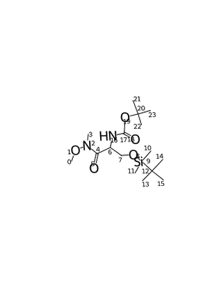 CON(C)C(=O)C(CO[Si](C)(C)C(C)(C)C)NC(=O)OC(C)(C)C